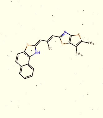 CC/C(C=C1Nc2c(ccc3ccccc23)S1)=C\c1nc2sc(C)c(C)c2s1